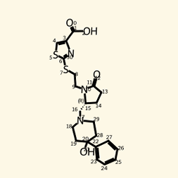 O=C(O)c1csc(SCCN2C(=O)CC[C@@H]2CN2CCC(O)(c3ccccc3)CC2)n1